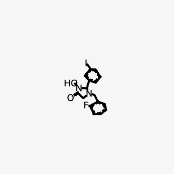 O=C1CN(Cc2ccccc2F)C(c2cccc(I)c2)N1O